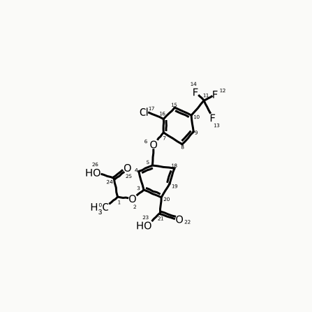 CC(Oc1cc(Oc2ccc(C(F)(F)F)cc2Cl)ccc1C(=O)O)C(=O)O